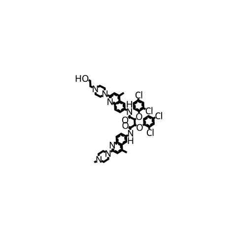 Cc1cc(N2CCN(C)CC2)nc2ccc(NC(=O)C(Oc3ccc(Cl)cc3Cl)C(Oc3ccc(Cl)cc3Cl)C(=O)Nc3ccc4nc(N5CCN(CCO)CC5)cc(C)c4c3)cc12